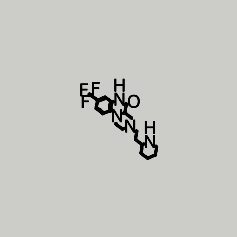 O=C1Nc2cc(C(F)(F)F)ccc2N2CCN(CCC3CCCCN3)CC12